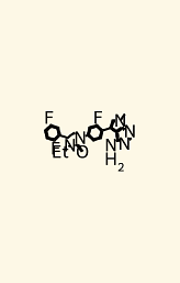 CCN1C(=O)N(c2ccc(-c3cn(C)c4ncnc(N)c34)c(F)c2)CC1c1cc(F)ccc1F